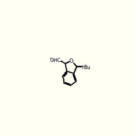 CCCCC1OC(C=O)c2ccccc21